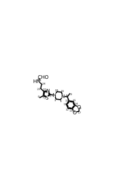 Cc1sc(N2CCN(C(C)c3ccc4c(c3)OCO4)CC2)nc1CCNC=O